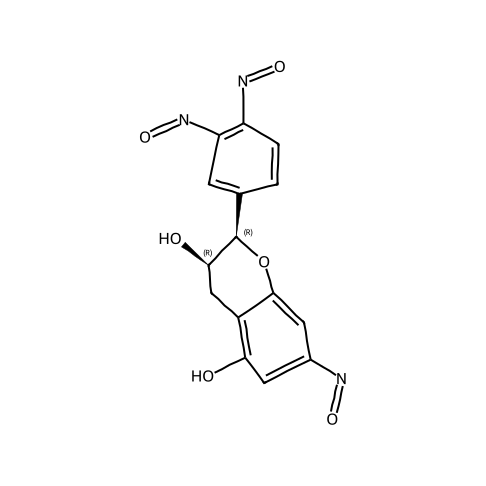 O=Nc1cc(O)c2c(c1)O[C@H](c1ccc(N=O)c(N=O)c1)[C@H](O)C2